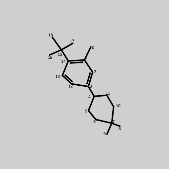 Cc1cc(C2CCC(C)(C)CC2)ccc1C(C)(C)C